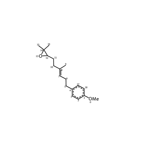 COc1ccc(CC/C=C(\C)CCC2OC2(C)C)cc1